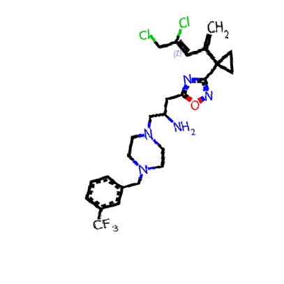 C=C(/C=C(\Cl)CCl)C1(c2noc(CC(N)CN3CCN(Cc4cccc(C(F)(F)F)c4)CC3)n2)CC1